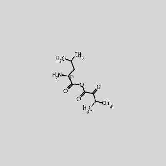 CC(C)C[C@H](N)C(=O)OC(=O)C(=O)C(C)C